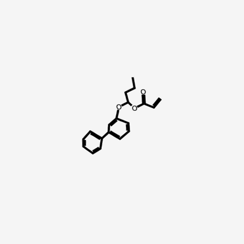 C=CC(=O)OC(CCC)Oc1cccc(-c2ccccc2)c1